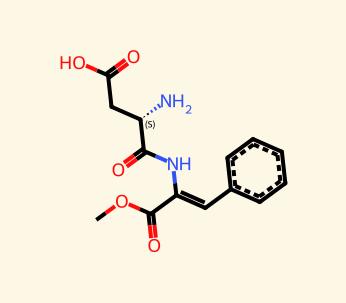 COC(=O)C(=Cc1ccccc1)NC(=O)[C@@H](N)CC(=O)O